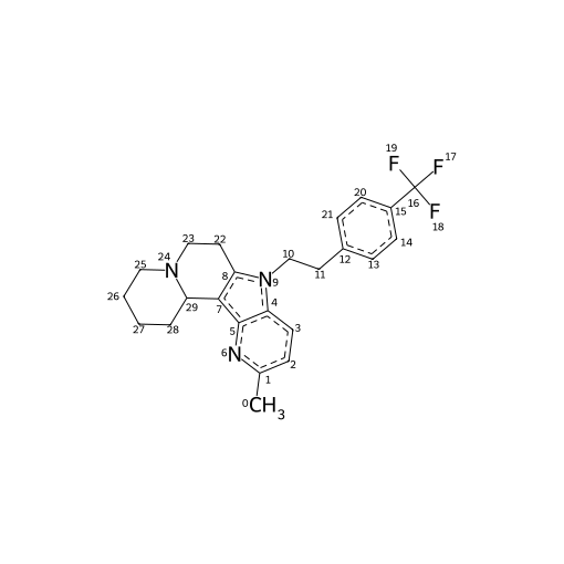 Cc1ccc2c(n1)c1c(n2CCc2ccc(C(F)(F)F)cc2)CCN2CCCCC12